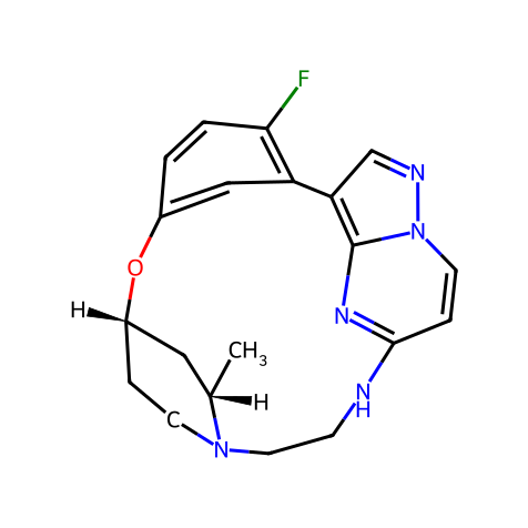 C[C@H]1C[C@@H]2CCN1CCNc1ccn3ncc(c3n1)-c1cc(ccc1F)O2